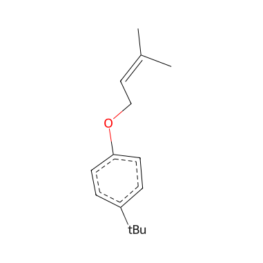 CC(C)=CCOc1ccc(C(C)(C)C)cc1